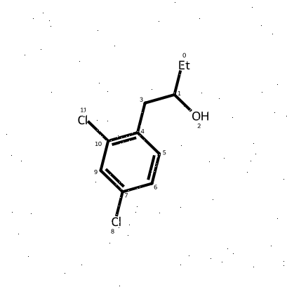 CCC(O)Cc1ccc(Cl)cc1Cl